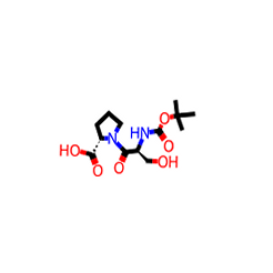 CC(C)(C)OC(=O)N[C@@H](CO)C(=O)N1CCC[C@H]1C(=O)O